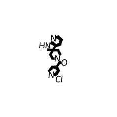 O=C(c1ccnc(Cl)c1)N1CCC2(CC1)CNc1ncccc12